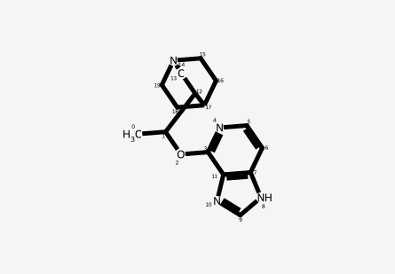 CC(Oc1nccc2[nH]cnc12)C1CN2CCC1CC2